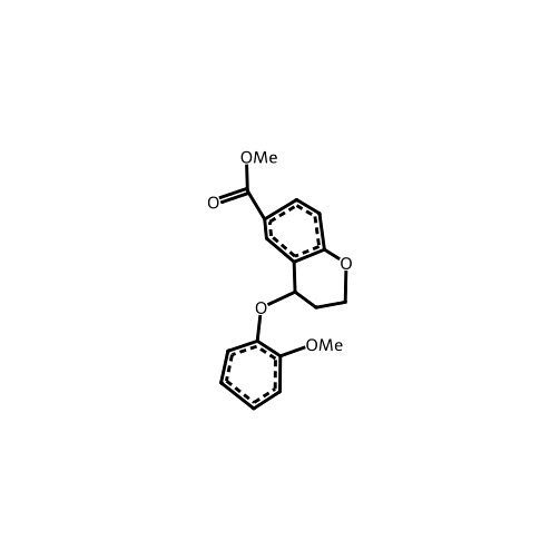 COC(=O)c1ccc2c(c1)C(Oc1ccccc1OC)CCO2